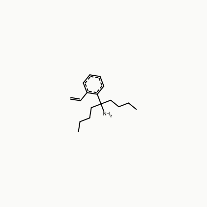 C=Cc1ccccc1C(N)(CCCC)CCCC